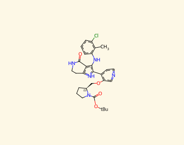 Cc1c(Cl)cccc1Nc1c(-c2ccncc2OC[C@@H]2CCCN2C(=O)OC(C)(C)C)[nH]c2c1C(=O)NCC2